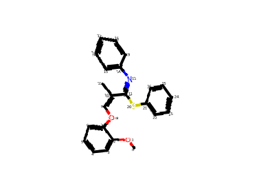 COc1ccccc1OC=C(C)C(=Nc1ccccc1)Sc1ccccc1